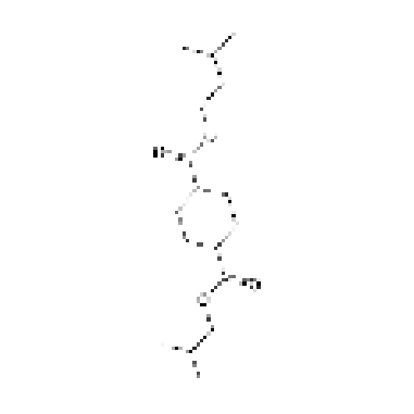 CC(C)CCOC(=O)C1CCC(C(=O)OCC(C)C)CC1